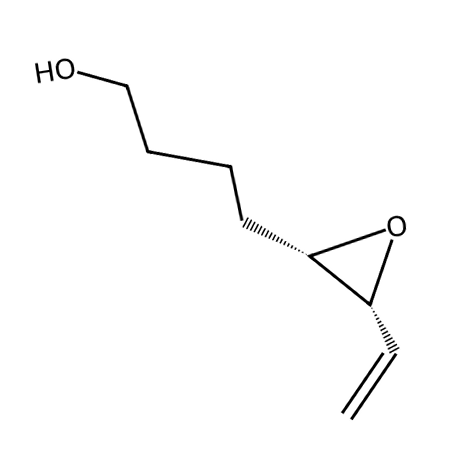 C=C[C@H]1O[C@H]1CCCCO